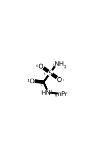 CCCNC(=O)S(N)(=O)=O